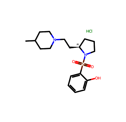 CC1CCN(CC[C@H]2CCCN2S(=O)(=O)c2ccccc2O)CC1.Cl